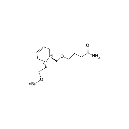 CCCCOCC[C@H]1CC=CC[C@H]1COCCCC(N)=O